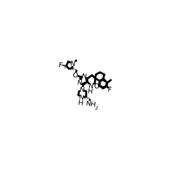 Cc1c(F)ccc2c1CCCC21Cc2nc(OC[C@@H]3C[C@@H](F)CN3C)nc(N3CCN[C@@H](CN)C3)c2NC1=O